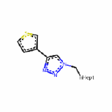 CCCCCCCCn1cc(-c2ccsc2)nn1